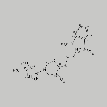 CC(C)(C)OC(=O)N1CCN(CCCN2C(=O)c3ccccc3C2=O)C(=O)C1